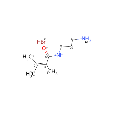 Br.CC(C)=C(C)C(=O)NCCCN